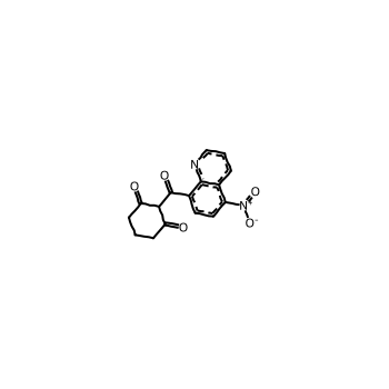 O=C1CCCC(=O)C1C(=O)c1ccc([N+](=O)[O-])c2cccnc12